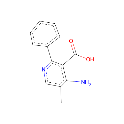 Cc1cnc(-c2ccccc2)c(C(=O)O)c1N